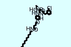 CCCCCCCCCCCCNC(=O)CCCOc1ccc(NC(NC(=O)Cc2cccc(Cl)c2)C(=O)N(O)CC)cc1